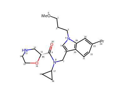 COCCCn1cc(CN(C(=O)[C@H]2CNCCO2)C2CC2)c2ccc(C(C)C)cc21